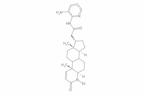 CCN1C(=O)C=C[C@]2(C)C3CC[C@]4(C)[C@@H](CC(=O)Nc5ncccc5N)CC[C@H]4C3CC[C@@H]12